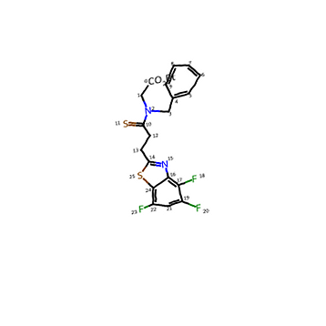 CCOC(=O)CN(Cc1ccccc1)C(=S)CCc1nc2c(F)c(F)cc(F)c2s1